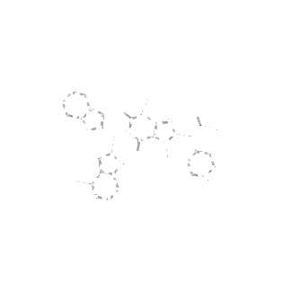 Cn1c(C(C(N)=O)c2ccncc2)nc2c1c(=O)n(C(c1cc3ccccc3[nH]1)c1cc3c(Cl)cccc3[nH]1)c(=O)n2C